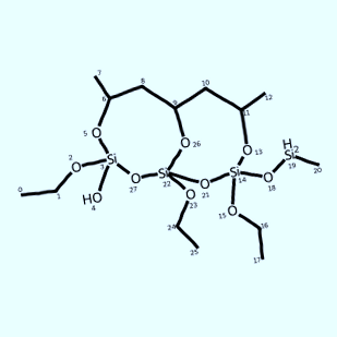 CCO[Si]1(O)OC(C)CC2CC(C)O[Si](OCC)(O[SiH2]C)O[Si](OCC)(O2)O1